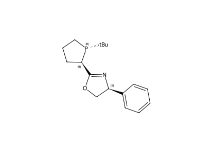 CC(C)(C)[P@@]1CCC[C@@H]1C1=N[C@@H](c2ccccc2)CO1